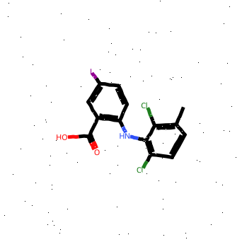 Cc1ccc(Cl)c(Nc2ccc(I)cc2C(=O)O)c1Cl